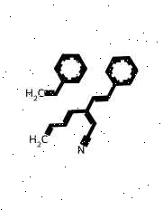 C=CC=CC(C=Cc1ccccc1)=CC#N.C=Cc1ccccc1